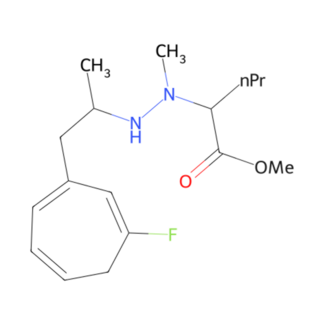 CCCC(C(=O)OC)N(C)NC(C)CC1=CC=CCC(F)=C1